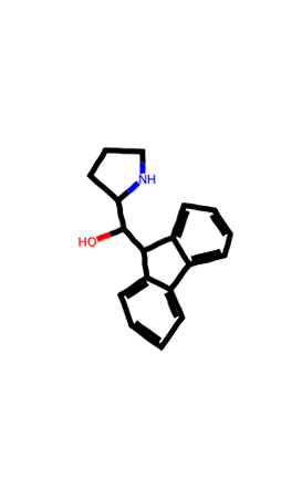 OC(C1CCCN1)C1c2ccccc2-c2ccccc21